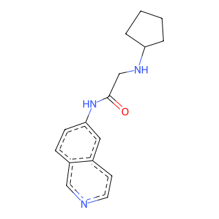 O=C(CNC1CCCC1)Nc1ccc2cnccc2c1